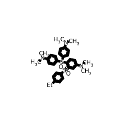 CCc1ccc(S(=O)(=O)OS(c2ccc(N(C)C)cc2)(c2ccc(N(C)C)cc2)c2ccc(N(C)C)cc2)cc1